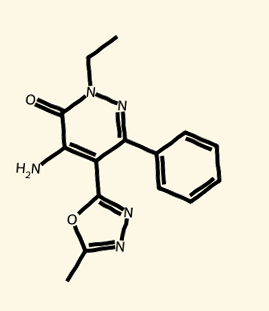 CCn1nc(-c2ccccc2)c(-c2nnc(C)o2)c(N)c1=O